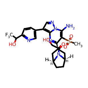 CS(=O)(=O)c1c([C@H]2C[C@H]3CC[C@@H](C2)N3C(=O)CO)nc2c(-c3ccc(C(O)C(F)(F)F)nc3)cnn2c1N